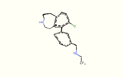 FC(F)(F)CNCc1cccc(-c2c(Cl)ccc3c2CCNCC3)c1